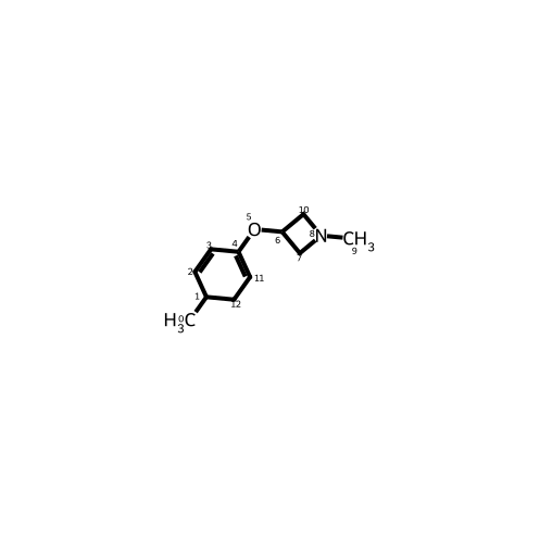 CC1C=CC(OC2CN(C)C2)=CC1